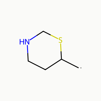 [CH2]C1CCNCS1